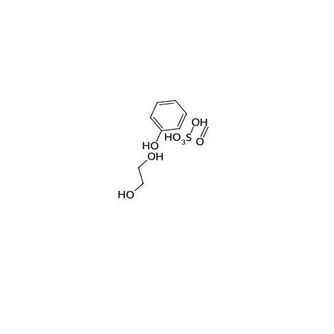 C=O.O=S(=O)(O)O.OCCO.Oc1ccccc1